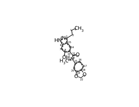 CCCc1n[nH]c2cc(O)c(C(=O)N(C)c3ccc4c(c3)OCO4)cc12